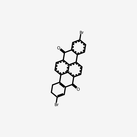 O=C1C2=C(CCC(Br)=C2)c2ccc3c4c(ccc1c24)-c1ccc(Br)cc1C3=O